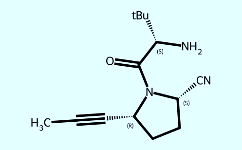 CC#C[C@H]1CC[C@@H](C#N)N1C(=O)[C@@H](N)C(C)(C)C